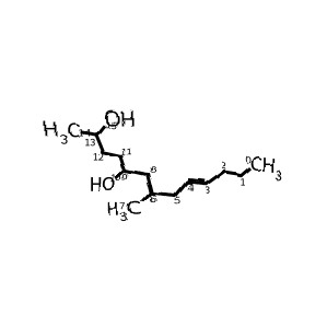 CCCC=CCC(C)CC(O)CCC(C)O